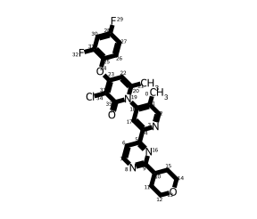 Cc1cnc(-c2ccnc(C3CCOCC3)n2)cc1-n1c(C)cc(Oc2ccc(F)cc2F)c(Cl)c1=O